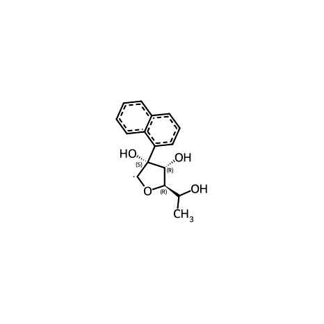 CC(O)[C@H]1O[CH][C@@](O)(c2cccc3ccccc23)[C@@H]1O